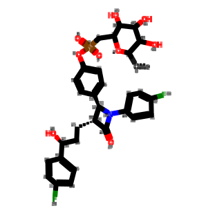 COC1OC(CS(=O)(=O)Oc2ccc([C@@H]3[C@@H](CC[C@H](O)c4ccc(F)cc4)C(=O)N3c3ccc(F)cc3)cc2)C(O)C(O)C1O